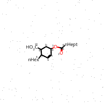 CCCCCCCC(=O)OC1C=CC(CCCCCC)C(C(=O)O)C1